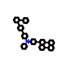 c1ccc(-c2ccccc2-c2ccc(-c3ccc(N(c4ccccc4)c4ccc(-c5ccc(-c6cccc7cccc(-c8ccccc8)c67)cc5)cc4)cc3)cc2)cc1